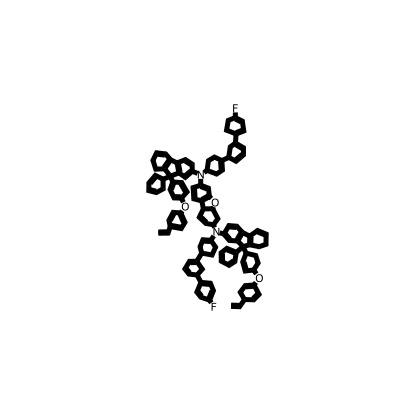 C=Cc1ccc(Oc2ccc(C3(C4C=CC=CC4)C4=C(C=CCC4)c4ccc(N(c5ccc6c(c5)OC5CC(N(C7=CCC(C8=CC=CC(c9ccc(F)cc9)C8)CC7)c7ccc8c(c7)C(c7ccccc7)(C7C=CC(OC9=CCC(C=C)C=C9)CC7)C7=C8C=CCC7)C=CC65)C5CC=C(C6C=CC=C(C7=CC=C(F)CC7)C6)CC5)cc43)cc2)cc1